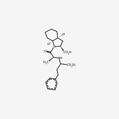 CCOC(=O)C(CCc1ccccc1)N[C@@H](C)C(=O)N1[C@H](C(=O)O)C[C@@H]2CCCC[C@@H]21